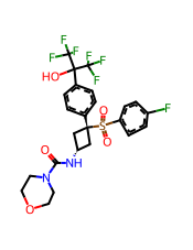 O=C(N[C@H]1C[C@@](c2ccc(C(O)(C(F)(F)F)C(F)(F)F)cc2)(S(=O)(=O)c2ccc(F)cc2)C1)N1CCOCC1